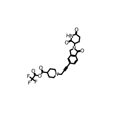 O=C1CCC(N2Cc3cc(C#CCN4CCC(C(=O)OC(=O)C(F)(F)F)CC4)ccc3C2=O)C(=O)N1